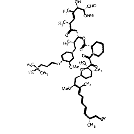 CO[C@@H](C[C@@H]1CC[C@@H](C)[C@](O)(C(=O)C(=O)N2CCCC[C@H]2C(=O)O[C@@H](CC(=O)[C@H](C)/C=C(\C)[C@@H](O)[C@H](C=O)OC)[C@@H](C)C[C@@H]2CC[C@@H](OCCC[Si](C)(C)O)[C@H](OC)C2)O1)/C(C)=C/C=C/C=C/[C@@H](C)CC(C)C